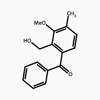 COc1c(C)ccc(C(=O)c2ccccc2)c1CO